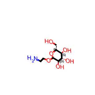 NCCOC1O[C@H](CO)[C@@H](O)[C@H](O)[C@H]1O